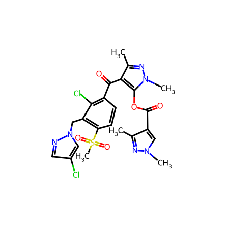 Cc1nn(C)cc1C(=O)Oc1c(C(=O)c2ccc(S(C)(=O)=O)c(Cn3cc(Cl)cn3)c2Cl)c(C)nn1C